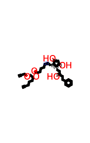 C#CCCCC(COCC#C)OC(=O)CCC/C=C\C[C@@H]1[C@@H](CC[C@@H](O)CCc2ccccc2)[C@H](O)C[C@@H]1O